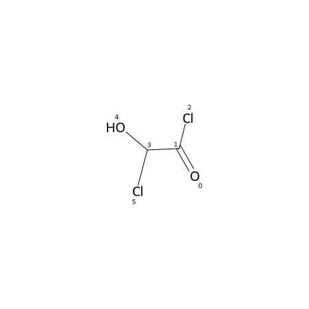 O=C(Cl)C(O)Cl